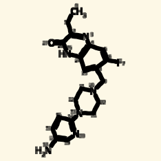 CCc1nc2cc(F)c(CN3CCN(c4ccc(N)cn4)CC3)cc2[nH]c1=O